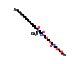 CC(=O)CCCCCCCCCCCCCCCCC(=O)N(CCC(=O)NCCOCCOCC(=O)NCCOCCOCC(C)=O)CC(=O)O